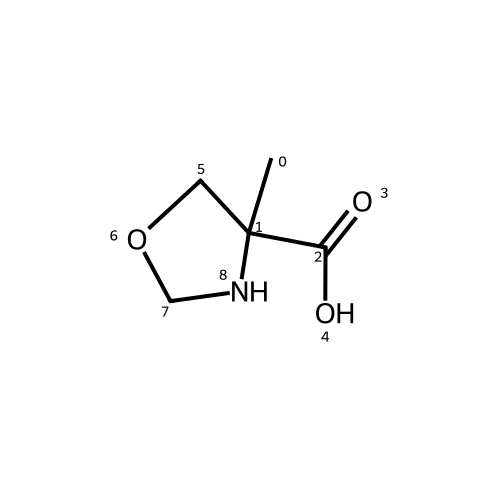 CC1(C(=O)O)COCN1